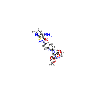 Cc1ccc2c(N)c(C(=O)N[C@H]3CCc4nc(N5CC(NC(=O)OC(C)(C)C)C6(C5)OCCO6)ccc4C3)sc2n1